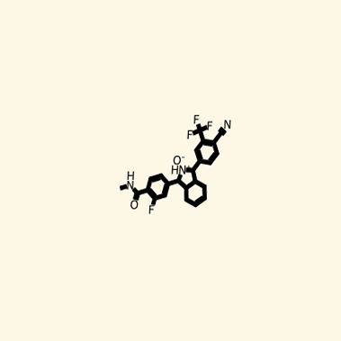 CNC(=O)c1ccc(C2C3CC=CCC3C(c3ccc(C#N)c(C(F)(F)F)c3)[NH+]2[O-])cc1F